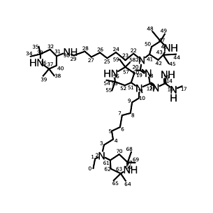 CCN(CCCCCCCCN(C(=N/C(=N)NC)/N=C(\C)N(CCCCCCCCNC1CC(C)(C)NC(C)(C)C1)C1CC(C)(C)NC(C)(C)C1)C1CC(C)(C)NC(C)(C)C1)C1CC(C)(C)NC(C)(C)C1